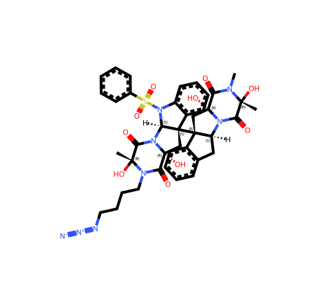 CN1C(=O)[C@]2(O)C[C@]3([C@]45C[C@@]6(O)C(=O)N(CCCCN=[N+]=[N-])[C@](C)(O)C(=O)N6[C@H]4N(S(=O)(=O)c4ccccc4)c4ccccc45)c4ccccc4C[C@@H]3N2C(=O)[C@@]1(C)O